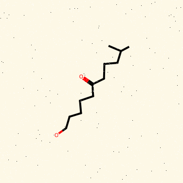 CC(C)CCCC(=O)CCCCC[O]